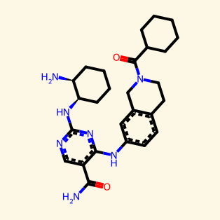 NC(=O)c1cnc(N[C@@H]2CCCC[C@@H]2N)nc1Nc1ccc2c(c1)CN(C(=O)C1CCCCC1)CC2